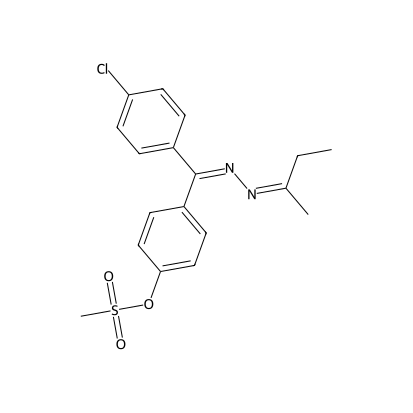 CCC(C)=NN=C(c1ccc(Cl)cc1)c1ccc(OS(C)(=O)=O)cc1